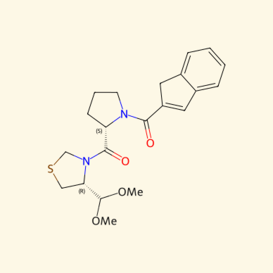 COC(OC)[C@@H]1CSCN1C(=O)[C@@H]1CCCN1C(=O)C1=Cc2ccccc2C1